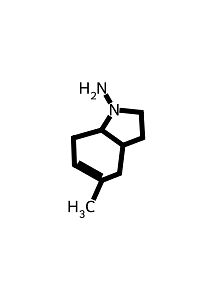 CC1=CCC2C(CCN2N)C1